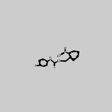 O=[N+]([O-])c1ccccc1COC(=S)Nc1ccc(F)cc1